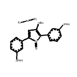 CCCCCCc1cccc(C2=CC(CCCC)=C(c3cccc(CCCCCC)c3)[N+]2=[N-])c1.C[CH2][Ni][CH2]C